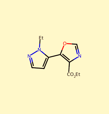 CCOC(=O)c1ncoc1-c1ccnn1CC